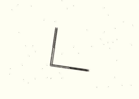 [Cr].[Cr].[Cr].[Cr].[Cr].[Cr].[Cr].[Cr].[Cr].[Cr].[Cr].[Cr].[Cr].[Cr].[Cr].[Cr].[Cr].[Cr].[Cr].[Cr].[Cr].[Cr].[Cr].[Cr].[Cr].[Cr].[Cr].[Cr].[Cr].[Cr].[Cr].[Cr].[Cr].[Cr].[Cr].[Cr].[Cr].[Cr].[Cr].[Cr].[Ni].[Ni].[Ni].[Ni].[Ni].[Ni].[Ni].[Ni].[Ni].[Ni].[Ni].[Ni].[Ni].[Ni].[Ni].[Ni].[Ni].[Ni].[Ni].[Ni].[Ni].[Ni].[Ni].[Ni].[Ni].[Ni].[Ni].[Ni].[Ni].[Ni].[Ni].[Ni].[Ni].[Ni].[Ni].[Ni].[Ni].[Ni].[Ni].[Ni].[Ni].[Ni].[Ni]